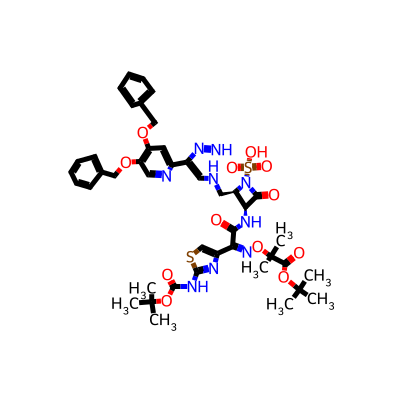 CC(C)(C)OC(=O)Nc1nc(/C(=N/OC(C)(C)C(=O)OC(C)(C)C)C(=O)N[C@@H]2C(=O)N(S(=O)(=O)O)[C@@H]2CN/C=C(\N=N)c2cc(OCc3ccccc3)c(OCc3ccccc3)cn2)cs1